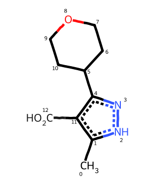 Cc1[nH]nc(C2CCOCC2)c1C(=O)O